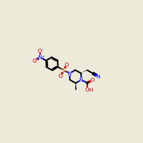 C[C@H]1CN(S(=O)(=O)c2ccc([N+](=O)[O-])cc2)C[C@H](CC#N)N1C(=O)O